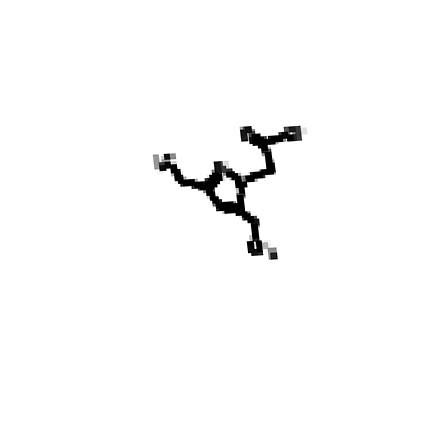 CCc1cc(CC)n(CC(=O)O)n1